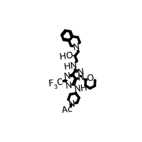 CC(=O)N1CCC(Nc2nc(C(F)(F)F)nc3c(NC[C@H](O)CN4CCc5ccccc5C4)nn(C4CCCCO4)c23)CC1